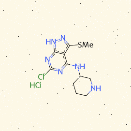 CSc1n[nH]c2nc(Cl)nc(NC3CCCNC3)c12.Cl